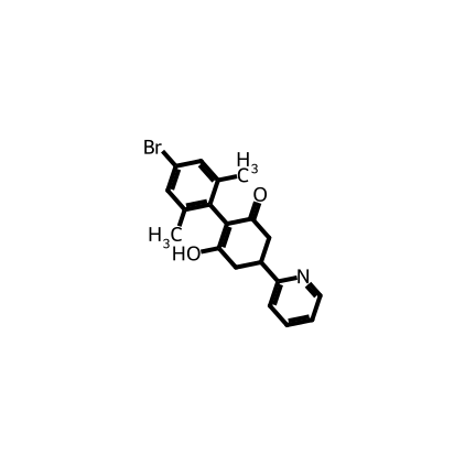 Cc1cc(Br)cc(C)c1C1=C(O)CC(c2ccccn2)CC1=O